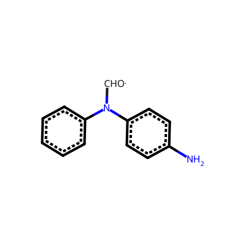 Nc1ccc(N([C]=O)c2ccccc2)cc1